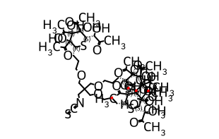 CC(=O)C(O)[C@@H]1S[C@H](CCCOCC(CN=C=S)(COCCC[C@H]2S[C@@H](C(O)C(C)=O)[C@](O)(C(C)=O)[C@@](O)(C(C)=O)[C@]2(O)C(C)=O)COCCC[C@H]2S[C@@H](C(O)C(C)=O)[C@](O)(C(C)=O)[C@@](O)(C(C)=O)[C@]2(O)C(C)=O)[C@](O)(C(C)=O)[C@](O)(C(C)=O)[C@@]1(O)C(C)=O